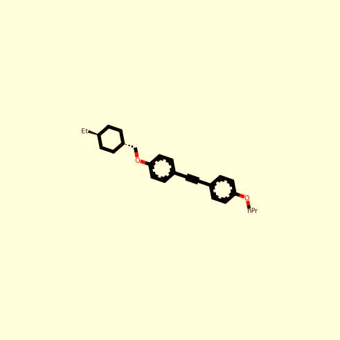 CCCOc1ccc(C#Cc2ccc(OC[C@H]3CC[C@H](CC)CC3)cc2)cc1